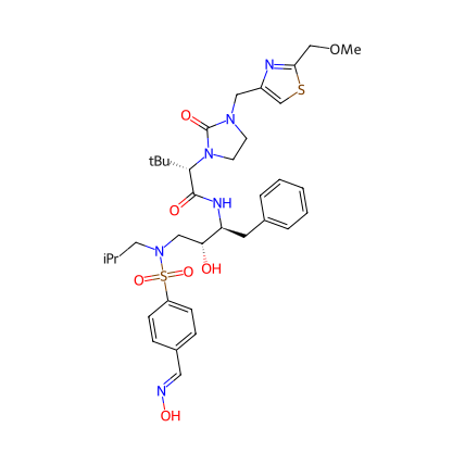 COCc1nc(CN2CCN([C@H](C(=O)N[C@@H](Cc3ccccc3)[C@H](O)CN(CC(C)C)S(=O)(=O)c3ccc(/C=N/O)cc3)C(C)(C)C)C2=O)cs1